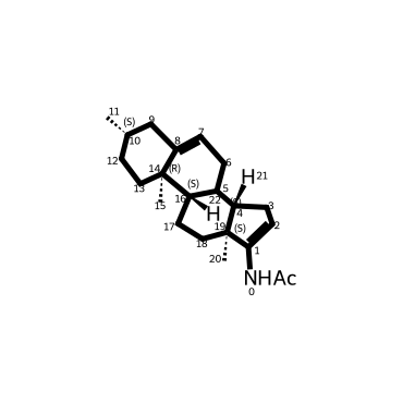 CC(=O)NC1=CC[C@H]2C3CC=C4C[C@@H](C)CC[C@]4(C)[C@H]3CC[C@]12C